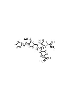 COc1cc([C@H](Nc2ccc(C(=N)N)cc2)C(=O)Nc2ccc(C(=N)N)cc2)ccc1OCc1ccccc1